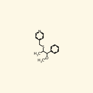 COC(c1ccccc1)C(C)SCc1ccncc1